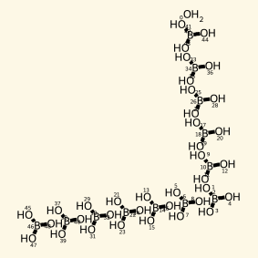 O.OB(O)O.OB(O)O.OB(O)O.OB(O)O.OB(O)O.OB(O)O.OB(O)O.OB(O)O.OB(O)O.OB(O)O.OB(O)O.OB(O)O